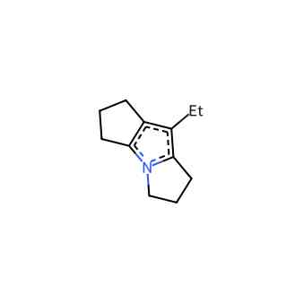 CCc1c2c(n3c1CCC3)CCC2